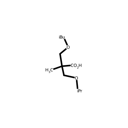 CCC(C)OCC(C)(COC(C)C)C(=O)O